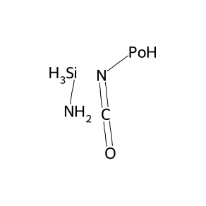 N[SiH3].O=C=[N][PoH]